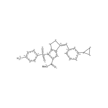 COC(=O)c1cc2c(n1S(=O)(=O)c1ccc(C)cc1)CCC2=Cc1cccc(C2CC2)c1